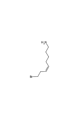 NCCCC/C=C\CCBr